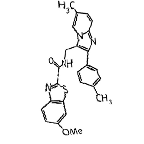 COc1ccc2nc(C(=O)NCc3c(-c4ccc(C)cc4)nc4ccc(C)cn34)sc2c1